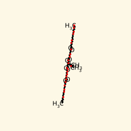 CCCCCCCCCCCCCCCCCCOC(=O)CCCCCCCOC(=O)CCN(CCC(=O)OCCCCCCCC(=O)OCCCCCCCCCCCCCCCCCC)CCN(C)C